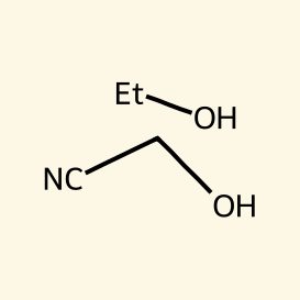 CCO.N#CCO